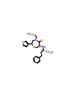 O=C(O)CN1CC(c2ccsc2)SC[C@H](N[C@@H](CCc2ccccc2)C(=O)O)C1=O